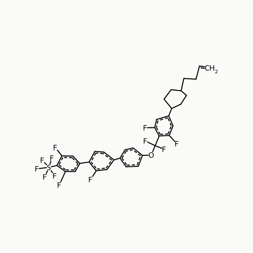 C=CCCC1CCC(c2cc(F)c(C(F)(F)Oc3ccc(-c4ccc(-c5cc(F)c(S(F)(F)(F)(F)F)c(F)c5)c(F)c4)cc3)c(F)c2)CC1